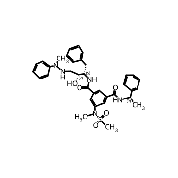 C[C@@H](NC(=O)c1cc(C(=O)N[C@@H](Cc2ccccc2)[C@H](O)CNN(C)c2ccccc2)cc(N(C)S(C)(=O)=O)c1)c1ccccc1